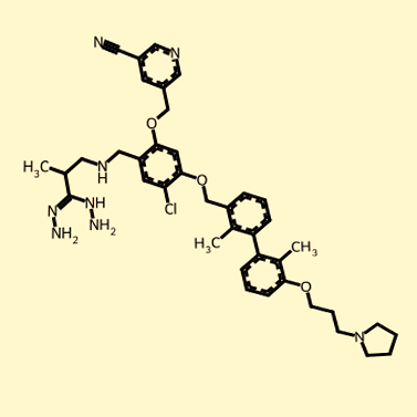 Cc1c(COc2cc(OCc3cncc(C#N)c3)c(CNCC(C)/C(=N/N)NN)cc2Cl)cccc1-c1cccc(OCCCN2CCCC2)c1C